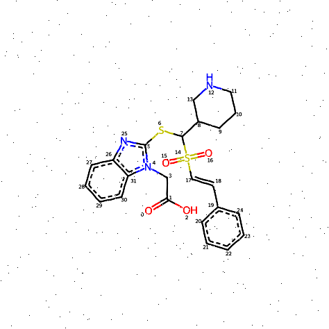 O=C(O)Cn1c(SC(C2CCCNC2)S(=O)(=O)C=Cc2ccccc2)nc2ccccc21